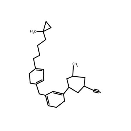 CC1CC(C#N)CC(C2=CC(CC3=CC=C(CCCCC4(C)CC4)CC3)=CCC2)C1